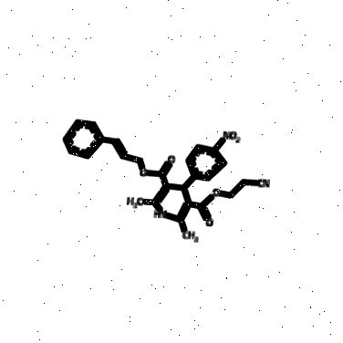 CC1=C(C(=O)OCC=Cc2ccccc2)C(c2ccc([N+](=O)[O-])cc2)C(C(=O)OCCC#N)=C(C)N1